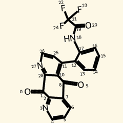 O=C1c2ncccc2C(=O)c2c(-c3ccccc3NC(=O)C(F)(F)F)ccnc21